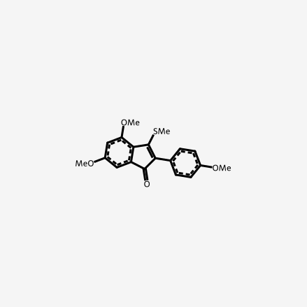 COc1ccc(C2=C(SC)c3c(OC)cc(OC)cc3C2=O)cc1